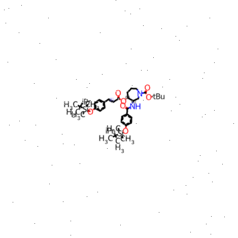 CC(C)C(C)(C)[Si](C)(C)Oc1ccc(/C=C/C(=O)O[C@@H]2CCCN(C(=O)OC(C)(C)C)C[C@H]2NC(=O)c2ccc(O[Si](C)(C)C(C)(C)C(C)C)cc2)cc1